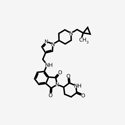 CC1(CN2CCC(n3cc(CNc4cccc5c4C(=O)N(C4CCC(=O)NC4=O)C5=O)cn3)CC2)CC1